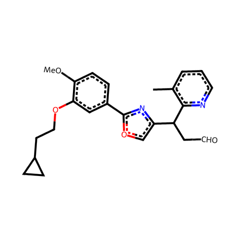 COc1ccc(-c2nc(C(CC=O)c3ncccc3C)co2)cc1OCCC1CC1